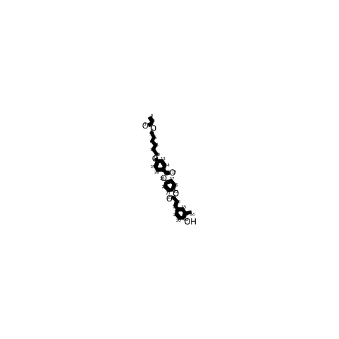 C=CC(=O)OCCCCCCOc1ccc(C(=O)Oc2ccc(OC(=O)/C=C/c3ccc(O)c(C)c3)cc2)cc1